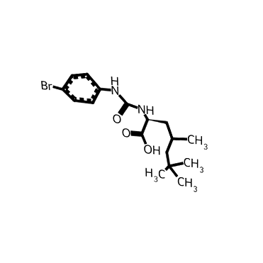 CC(C[C@H](NC(=O)Nc1ccc(Br)cc1)C(=O)O)CC(C)(C)C